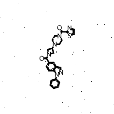 O=C(c1ccc2c(cnn2-c2ccccc2)c1)N1CC(N2CCN(C(=O)c3nccs3)CC2)C1